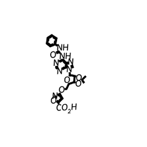 CC1(C)OC2C(COc3cc(C(=O)O)on3)OC(n3cnc4c(NC(=O)Nc5ccccc5)ncnc43)C2O1